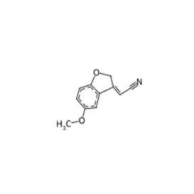 COc1ccc2c(c1)/C(=C/C#N)CO2